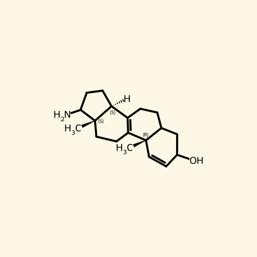 C[C@]12C=CC(O)CC1CCC1=C2CC[C@]2(C)C(N)CC[C@@H]12